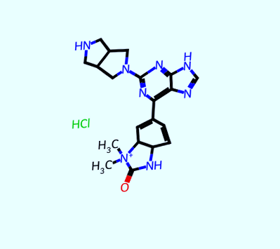 C[N+]1(C)C(=O)NC2C=CC(c3nc(N4CC5CNCC5C4)nc4[nH]cnc34)=CC21.Cl